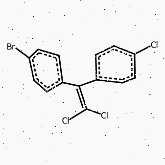 ClC(Cl)=C(c1ccc(Cl)cc1)c1ccc(Br)cc1